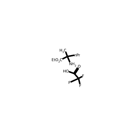 CCCC(C)(N)C(=O)OCC.O=C(O)C(F)(F)F